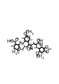 CCCCc1onc(/C=C(\Cc2cc3c(cc2OC)OCO3)C(=O)O)c1-c1cnc(OC)cc1CCc1ccccc1C(=O)O